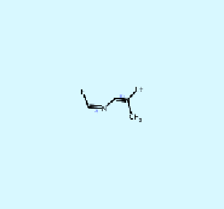 CC/C(C)=C/N=C\F